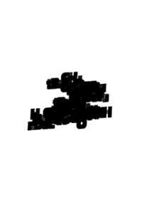 CCCCCCCCCCC(CN(CCCOC(=O)N[C@@H](Cc1c[nH]cn1)C(=O)OCCCN(CC(CCCCCCCCCC)O[Si](C)(C)C(C)(C)C)CC(CCCCCCCCCC)O[Si](C)(C)C(C)(C)C)CC(CCCCCCCCCC)O[Si](C)(C)C(C)(C)C)O[Si](C)(C)C(C)(C)C